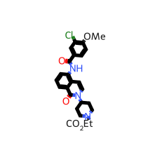 CCOC(=O)N1CCC(n2ccc3c(NC(=O)c4ccc(OC)c(Cl)c4)cccc3c2=O)CC1